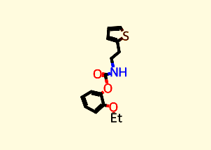 CCOc1ccccc1OC(=O)NCCc1cccs1